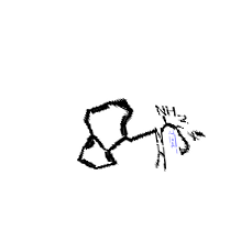 C/[S+]=C(\N)Nc1cccc2ccccc12